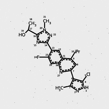 Cc1n[nH]c(Cl)c1-c1cc(C(C)C)c2cc(-c3nc(C(C)O)n(C)n3)c(F)cc2n1